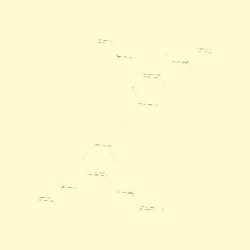 C=CC(=O)Oc1ccc(C#Cc2ccc(OC(=O)C=C)c(OC(=O)C=C)c2)cc1OC(=O)C=C